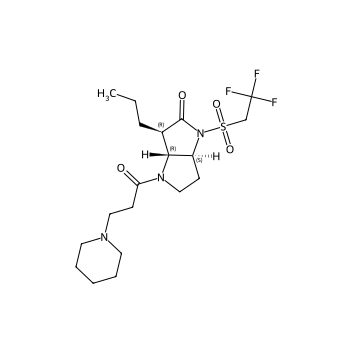 CCC[C@H]1C(=O)N(S(=O)(=O)CC(F)(F)F)[C@H]2CCN(C(=O)CCN3CCCCC3)[C@H]12